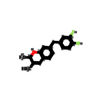 O=C(O)C1=Cc2ccc(Cc3ccc(F)c(F)c3)cc2OC1C(F)(F)F